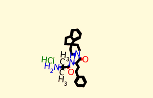 CC(C)(N)C(=O)NC(CCc1ccccc1)C(=O)N1CCC2(CCc3ccccc32)CC1.Cl